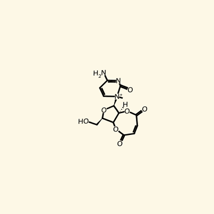 C[N+]1([C@@H]2O[C@H](CO)C3OC(=O)/C=C\C(=O)O[C@@H]32)C=CC(N)=NC1=O